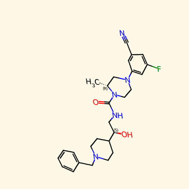 C[C@@H]1CN(c2cc(F)cc(C#N)c2)CCN1C(=O)NC[C@@H](O)C1CCN(Cc2ccccc2)CC1